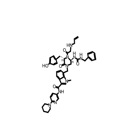 C=CCNCC(=O)N1[C@@H](NC(=O)NCc2ccccc2)CN(Cc2cccc3c(C(=O)Nc4ccc(N5CCCCC5)nc4)cn(C)c23)C(=O)[C@@H]1Cc1ccc(O)cc1